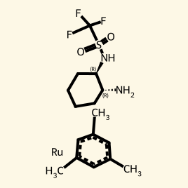 Cc1cc(C)cc(C)c1.N[C@@H]1CCCC[C@H]1NS(=O)(=O)C(F)(F)F.[Ru]